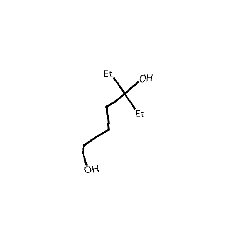 CCC(O)(CC)CCCO